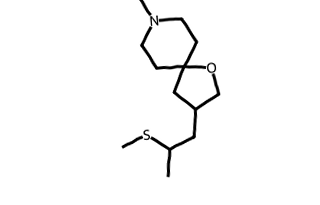 CSC(C)CC1COC2(CCN(C)CC2)C1